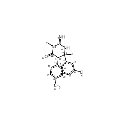 CN1C(=N)N[C@](C)(c2cccc(Cl)c2)[C@H](c2ccc(C(F)(F)F)cc2)C1=O